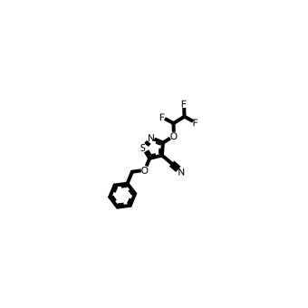 N#Cc1c(OC(F)C(F)F)nsc1OCc1ccccc1